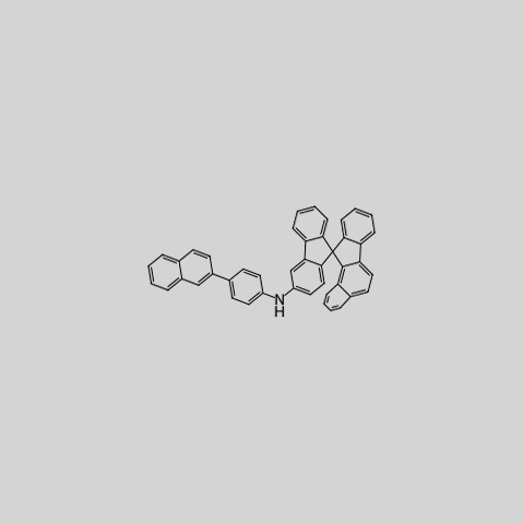 c1ccc2c(c1)-c1cc(Nc3ccc(-c4ccc5ccccc5c4)cc3)ccc1C21c2ccccc2-c2ccc3ccccc3c21